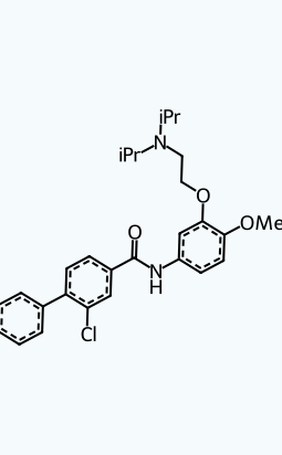 COc1ccc(NC(=O)c2ccc(-c3ccccc3)c(Cl)c2)cc1OCCN(C(C)C)C(C)C